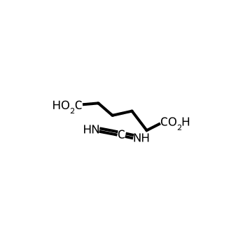 N=C=N.O=C(O)CCCCC(=O)O